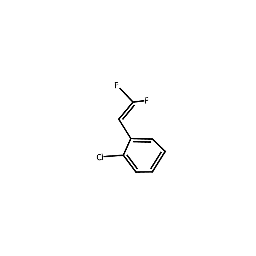 FC(F)=Cc1ccccc1Cl